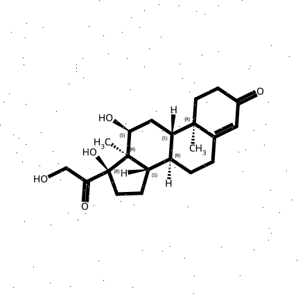 C[C@]12[C@@H](O)C[C@H]3[C@@H](CCC4=CC(=O)CC[C@@]43C)[C@@H]1CC[C@]2(O)C(=O)CO